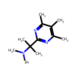 Cc1nc(C(C)(C)N(C)C(C)C)nc(C)c1C